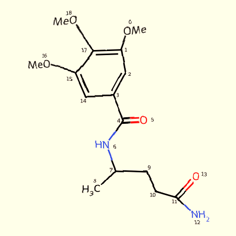 COc1cc(C(=O)NC(C)CCC(N)=O)cc(OC)c1OC